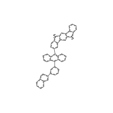 c1cc(-c2ccc3ccccc3c2)cc(-c2c3ccccc3c(-c3ccc4sc5cc6c(cc5c4c3)sc3ccccc36)c3ccccc23)c1